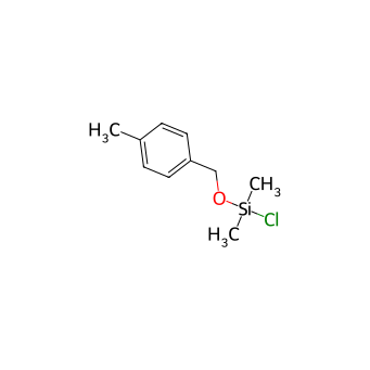 Cc1ccc(CO[Si](C)(C)Cl)cc1